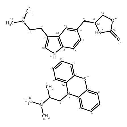 CC(CN1c2ccccc2Sc2ccccc21)N(C)C.CN(C)CCc1c[nH]c2ccc(C[C@H]3COC(=O)N3)cc12